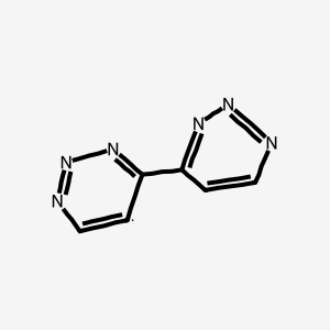 [c]1cnnnc1-c1ccnnn1